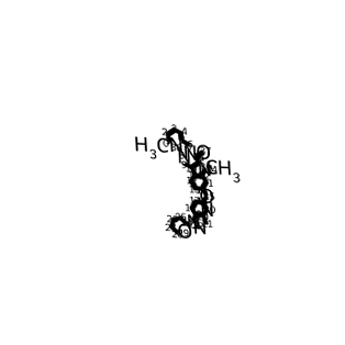 Cc1cccc(Cn2ncc3c4ccc(Oc5ccc6c(cnn6C6CCCCO6)n5)cc4n(C)c3c2=O)n1